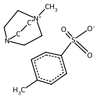 C[N+]12CCN(CC1)CC2.Cc1ccc(S(=O)(=O)[O-])cc1